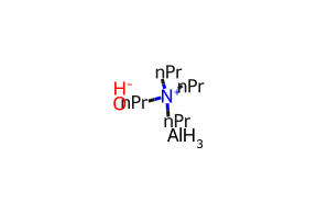 CCC[N+](CCC)(CCC)CCC.[AlH3].[OH-]